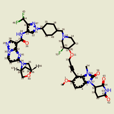 COc1ccc2c(c1C#CCO[C@@H]1CCN(CC3CCC(n4cc(NC(=O)c5cnn6ccc(N7C[C@H]8C[C@@H]7CO8)nc56)c(C(F)F)n4)CC3)C[C@@H]1F)n(C)c(=O)n2C1CCC(=O)NC1=O